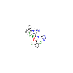 CN(/C(=C(\C=N)C(=O)N(CC(=O)c1c(Cl)cccc1Cl)Cc1cncnc1)C(F)(F)F)[C@@]1(C)C2CCC[C@H]21